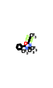 FC(F)(F)c1ccccc1C1=NC(C(F)(F)F)(C(F)(F)F)N=C(C(F)(F)C(F)(F)C(F)(F)F)O1